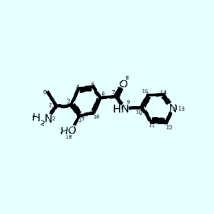 CC(N)c1ccc(C(=O)Nc2ccncc2)cc1O